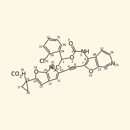 CC(OC(=O)Nc1c(C#Cc2cc3cc(C4(C(=O)O)CC4)oc3o2)oc2cnccc12)c1ccccc1Cl